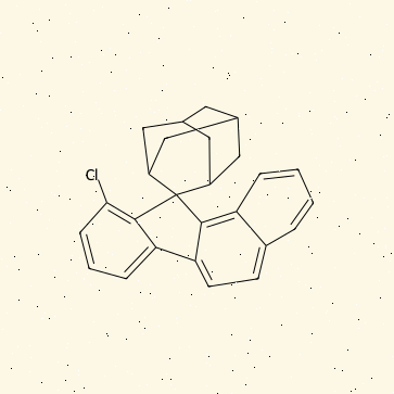 Clc1cccc2c1C1(c3c-2ccc2ccccc32)C2CC3CC(C2)CC1C3